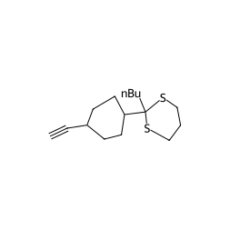 C#CC1CCC(C2(CCCC)SCCCS2)CC1